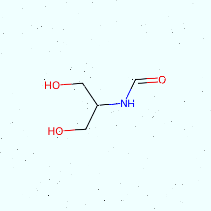 O=[C]NC(CO)CO